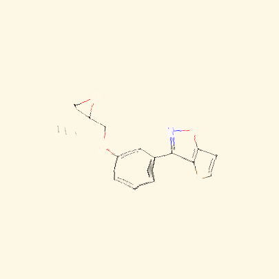 C[C@]1(COc2cccc(-c3noc4ccsc34)c2)CO1